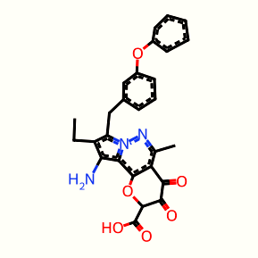 CCc1c(N)c2c3c(c(C)nn2c1Cc1cccc(Oc2ccccc2)c1)C(=O)C(=O)C(C(=O)O)O3